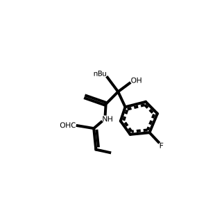 C=C(N/C(C=O)=C\C)C(O)(CCCC)c1ccc(F)cc1